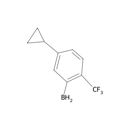 Bc1cc(C2CC2)ccc1C(F)(F)F